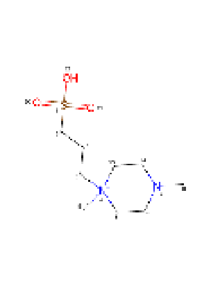 CN1CC[N+](C)(CCCS(=O)(=O)O)CC1